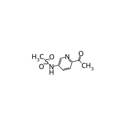 CC(=O)c1ccc(NS(C)(=O)=O)cn1